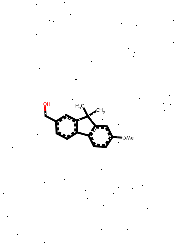 COc1ccc2c(c1)C(C)(C)c1cc(CO)ccc1-2